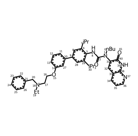 CCCCN(C(=O)Nc1c(C(C)C)cc(-c2cccc(OCCN(CC)Cc3ccccc3)c2)cc1C(C)C)c1cc2cccnc2[nH]c1=O